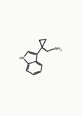 NCC1(c2c[nH]c3ccccc23)CC1